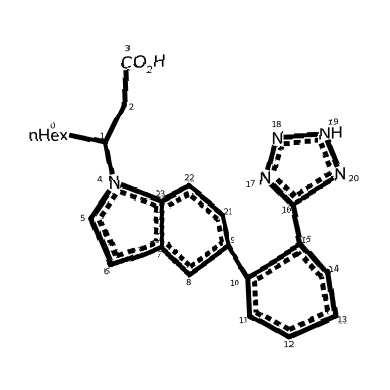 CCCCCCC(CC(=O)O)n1ccc2cc(-c3ccccc3-c3nn[nH]n3)ccc21